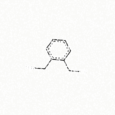 NCc1cc[c]cc1CO